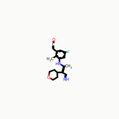 C/C(Nc1cc(F)cc(C=C=O)c1C)=C(\C=N)C1CCOCC1